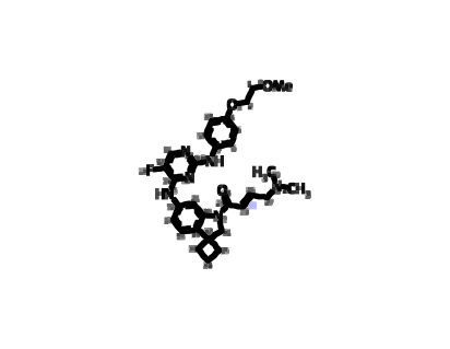 COCCOc1ccc(Nc2ncc(F)c(Nc3ccc4c(c3)N(C(=O)/C=C/CN(C)C)CC43CCC3)n2)cc1